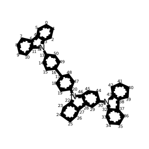 c1ccc2c(c1)c1ccccc1n2-c1ccc(-c2ccc(-n3c4ccccc4c4cc(-n5c6ccccc6c6ccccc65)ccc43)cc2)cc1